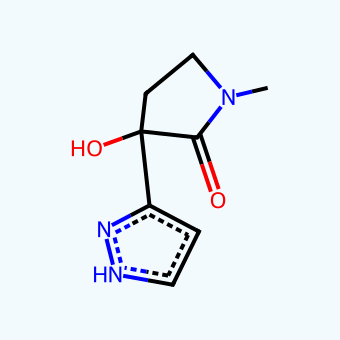 CN1CCC(O)(c2cc[nH]n2)C1=O